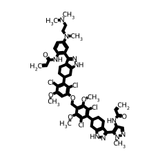 C=CC(=O)Nc1ccc(N(C)CCN(C)C)cc1-c1n[nH]c2c1CCC(c1c(Cl)c(OC)cc(OCc3c(OC)c(Cl)c(C4CCc5c(-c6c(NC(=O)C=C)cnn6C)n[nH]c5C4)c(Cl)c3OC)c1Cl)C2